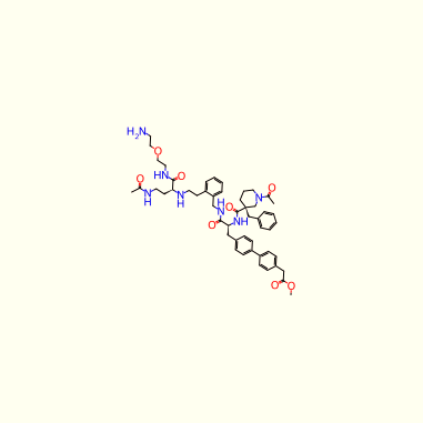 COC(=O)Cc1ccc(-c2ccc(C[C@H](NC(=O)[C@]3(Cc4ccccc4)CCCN(C(C)=O)C3)C(=O)NCc3ccccc3CCN[C@@H](CCNC(C)=O)C(=O)NCCOCCN)cc2)cc1